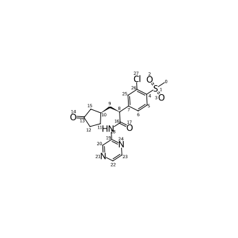 CS(=O)(=O)c1ccc([C@H](C[C@H]2CCC(=O)C2)C(=O)Nc2cnccn2)cc1Cl